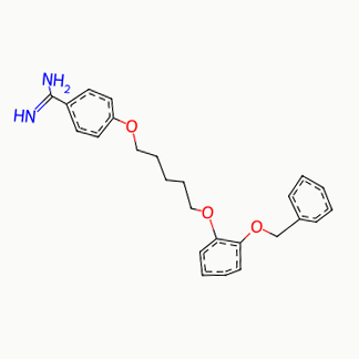 N=C(N)c1ccc(OCCCCCOc2ccccc2OCc2ccccc2)cc1